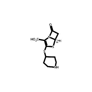 O=C(O)C1=C(SC2CCNCC2)S[C@@H]2CC(=O)N12